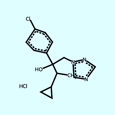 CC(C1CC1)C(O)(Cn1cncn1)c1ccc(Cl)cc1.Cl